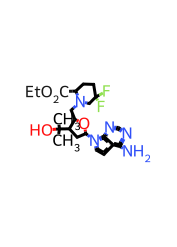 CCOC(=O)C1CCC(F)(F)CN1CC1OC(n2ccc3c(N)ncnc32)CC1C(C)(C)O